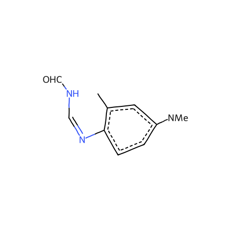 CNc1ccc(/N=C\NC=O)c(C)c1